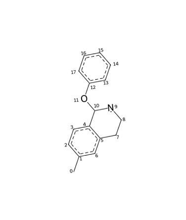 Cc1ccc2c(c1)CC[N]C2Oc1ccccc1